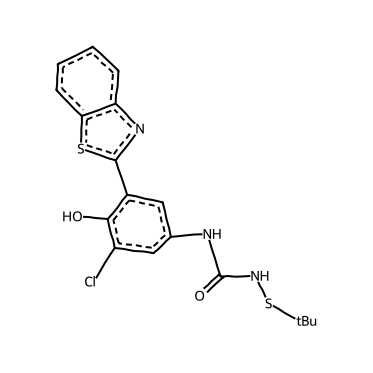 CC(C)(C)SNC(=O)Nc1cc(Cl)c(O)c(-c2nc3ccccc3s2)c1